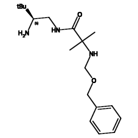 CC(C)(NCOCc1ccccc1)C(=O)NC[C@@H](N)C(C)(C)C